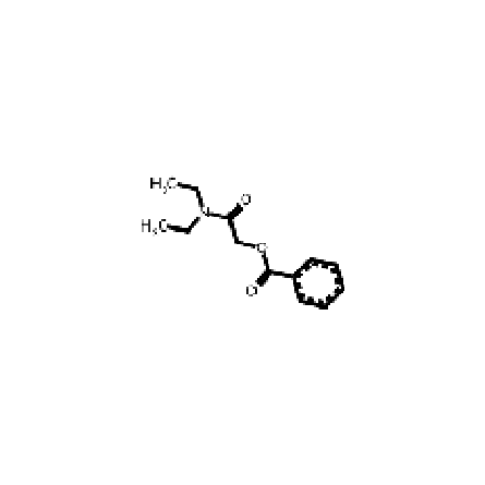 CCN(CC)C(=O)COC(=O)c1ccccc1